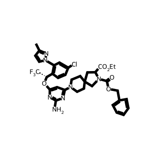 CCOC(=O)C1CC2(CCN(c3cc(O[C@@H](c4ccc(Cl)cc4-n4ccc(C)n4)C(F)(F)F)nc(N)n3)CC2)CN1C(=O)OCc1ccccc1